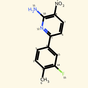 Cc1ccc(-c2ccc([N+](=O)[O-])c(N)n2)cc1F